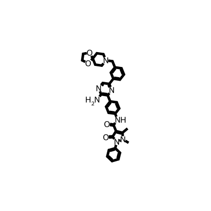 Cc1c(C(=O)Nc2ccc(-c3nc(-c4cccc(CN5CCC6(CC5)OCCO6)c4)cnc3N)cc2)c(=O)n(-c2ccccc2)n1C